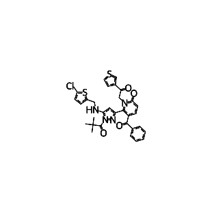 CC(C)(C)C(=O)n1nc(-c2c(C(=O)c3ccccc3)ccc(=O)n2CC(=O)c2ccsc2)cc1NCc1ccc(Cl)s1